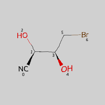 N#C[C@@H](O)[C@H](O)CBr